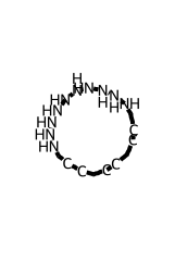 C1CCCCCNNNNNNNNNNCCCC1